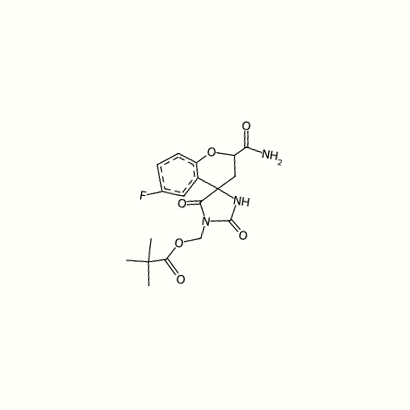 CC(C)(C)C(=O)OCN1C(=O)NC2(CC(C(N)=O)Oc3ccc(F)cc32)C1=O